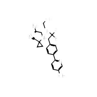 CCC[C@@H](C(N)=O)N([C@@H](c1ccc(-c2ccc(C)cn2)cc1)C(F)(F)F)C1(C#N)CC1